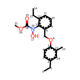 CCc1ccc(OCc2cccc(CC)c2N(O)C(=O)OC)c(C)c1